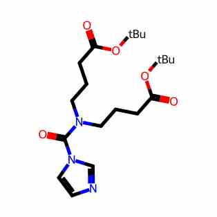 CC(C)(C)OC(=O)CCCN(CCCC(=O)OC(C)(C)C)C(=O)n1ccnc1